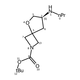 CCCN[C@@H]1COC2(C1)CN(C(=O)OC(C)(C)C)C2